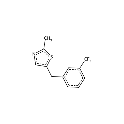 Cc1ncc(Cc2cccc(C(F)(F)F)c2)s1